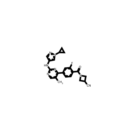 Cc1cnc(Nc2cnn(C3CC3)c2)nc1-c1ccc(C(=O)N2CC(C#N)C2)c(F)c1